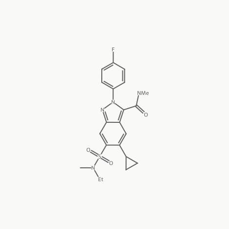 CCN(C)S(=O)(=O)c1cc2nn(-c3ccc(F)cc3)c(C(=O)NC)c2cc1C1CC1